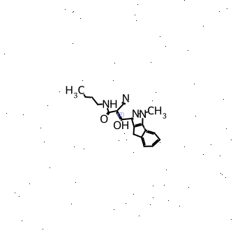 CCCCNC(=O)/C(C#N)=C(\O)c1nn(C)c2c1Cc1ccccc1-2